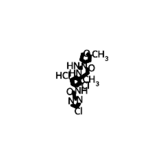 C[C@@H]1C[C@H](N2C(=N)N[C@](C)(c3cccc(NC(=O)c4ncc(Cl)cn4)c3Cl)CC2=O)CCO1.Cl